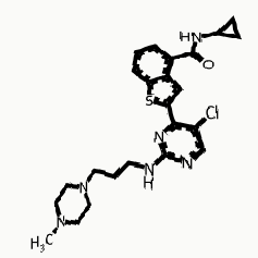 CN1CCN(CCCNc2ncc(Cl)c(-c3cc4c(C(=O)NC5CC5)cccc4s3)n2)CC1